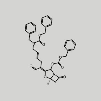 O=CC(CC=CCN(Cc1ccccc1)C(=O)OCc1ccccc1)=C1O[C@@H]2CC(=O)N2C1OC(=O)OCc1ccccc1